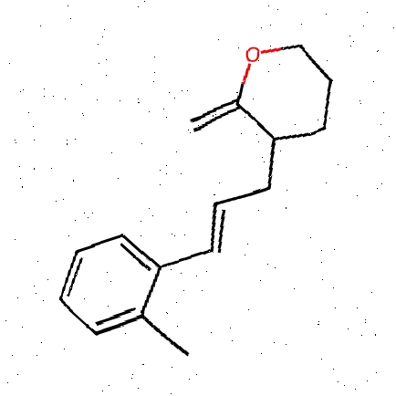 C=C1OCCCC1C/C=C/c1ccccc1C